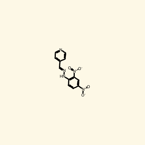 O=[N+]([O-])c1ccc(NN=Cc2ccncc2)c([N+](=O)[O-])c1